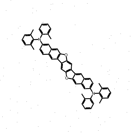 Cc1ccccc1N(c1ccc2cc3c(cc2c1)oc1cc2c(cc13)oc1cc3cc(N(c4ccccc4C)c4c(C)cccc4C)ccc3cc12)c1c(C)cccc1C